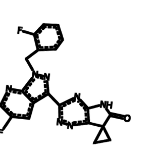 O=C1Nc2nc(-c3nn(Cc4ccccc4F)c4ncc(F)cc34)nnc2C12CC2